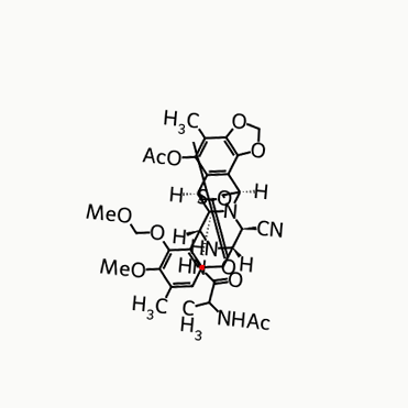 COCOc1c(OC)c(C)cc2c1[C@H]1N[C@@H](C2)[C@H](C#N)N2C1[C@@H]1SC[C@H](NC(=O)C(C)NC(C)=O)C(=O)OC[C@H]2c2c3c(c(C)c(OC(C)=O)c21)OCO3